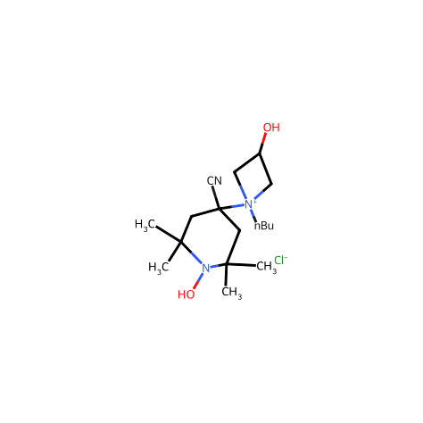 CCCC[N+]1(C2(C#N)CC(C)(C)N(O)C(C)(C)C2)CC(O)C1.[Cl-]